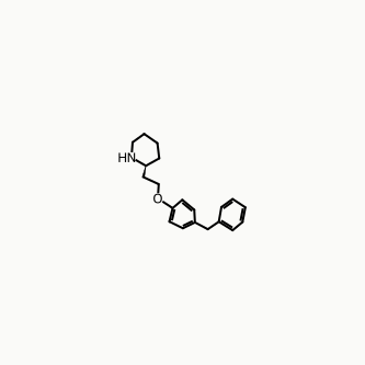 c1ccc(Cc2ccc(OCC[C@@H]3CCCCN3)cc2)cc1